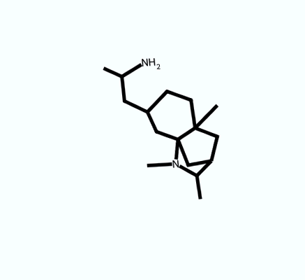 CC(N)CC1CCC2(C)CC3CC2(C1)N(C)C3C